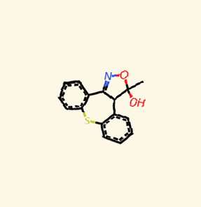 CC1(O)ON=C2c3ccccc3Sc3ccccc3C21